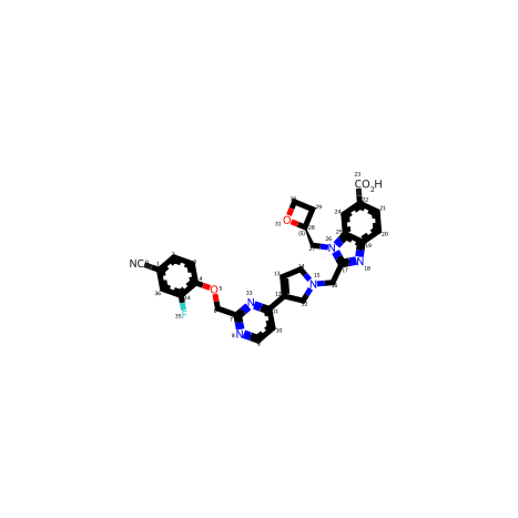 N#Cc1ccc(OCc2nccc(C3=CCN(Cc4nc5ccc(C(=O)O)cc5n4C[C@@H]4CCO4)C3)n2)c(F)c1